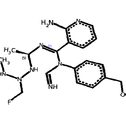 CNN(CF)N[C@@H](C)/N=C(/c1cccnc1N)N(C=N)c1ccc(CO)cc1